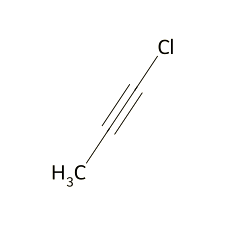 CC#CCl